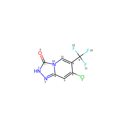 O=c1[nH]nc2cc(Cl)c(C(F)(F)F)cn12